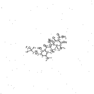 CN(C)c1cc(CNCC(F)(F)C(F)(F)F)c(O)c2c1C[C@H]1C[C@@]3(C)[C@H](N(C)C)C(O)=C(C(N)=O)C(=O)[C@@]3(O)C(O)=C1C2=O